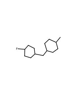 CC1CCC(CC2CCC(F)CC2)CC1